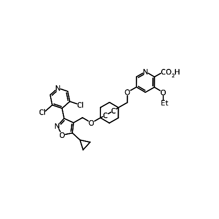 CCOc1cc(OCC23CCC(OCc4c(-c5c(Cl)cncc5Cl)noc4C4CC4)(CC2)CC3)cnc1C(=O)O